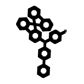 Fc1ccc(N(c2ccc(-c3ccccc3)cc2)c2ccc3c(c2)C2(c4ccccc4-c4ccccc42)c2ccccc2-3)cc1